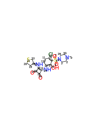 CN1CCN(S(=O)(=O)c2c(Cl)ccc(Nc3c(NC4CCSC4)c(=O)c3=O)c2O)CC1